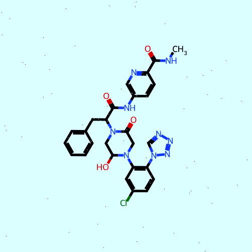 CNC(=O)c1ccc(NC(=O)C(Cc2ccccc2)N2CC(O)N(c3cc(Cl)ccc3-n3cnnn3)CC2=O)cn1